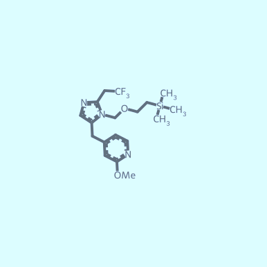 COc1cc(Cc2cnc(CC(F)(F)F)n2COCC[Si](C)(C)C)ccn1